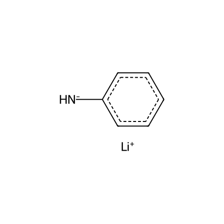 [Li+].[NH-]c1ccccc1